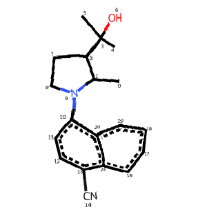 CC1C(C(C)(C)O)CCN1c1ccc(C#N)c2ccccc12